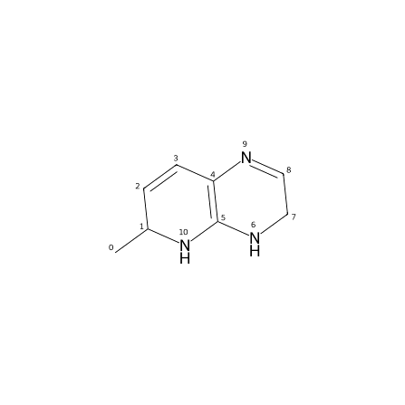 CC1C=CC2=C(NCC=N2)N1